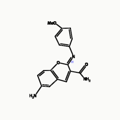 COc1ccc(/N=c2\oc3ccc(N)cc3cc2C(N)=O)cc1